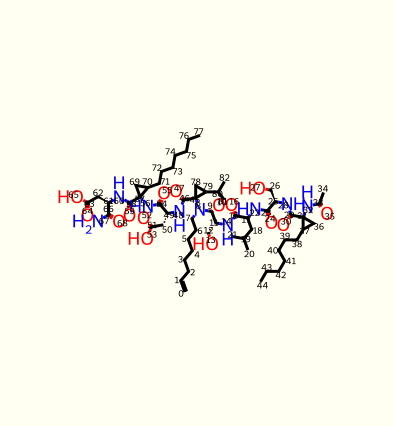 C=CCCCCCCN(C(=O)[C@@H](CO)NC(=O)C(CC(C)C)NC(=O)[C@@H](CO)NC(=O)C1(NC(C)=O)CC1CCCCCCC)C1(C(=O)N[C@H](CC(=O)O)C(=O)NC2(C(=O)N[C@H](CC(=O)O)C(N)=O)CC2CCCCCCC)CC1C(C)C